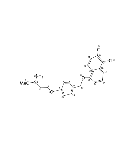 CON(C)CCOc1ccc(COc2cccc3c(Cl)c(Cl)ccc23)cc1